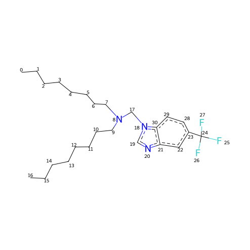 CCCCCCCCN(CCCCCCCC)Cn1cnc2cc(C(F)(F)F)ccc21